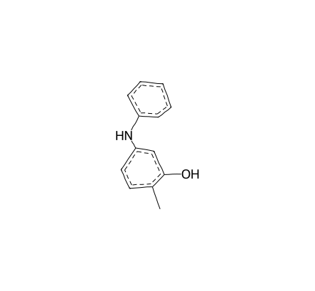 Cc1ccc(Nc2ccccc2)cc1O